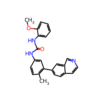 COc1ccccc1NC(=O)Nc1ccc(C)c(-c2ccc3ccncc3c2)c1